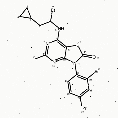 CCC(CC1CC1)Nc1nc(C)nc2c1sc(=O)n2-c1ccc(C(C)C)cc1Br